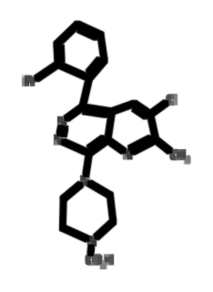 Cc1nc2c(N3CCN(C(=O)O)CC3)nnc(-c3ccccc3C(C)C)c2cc1Cl